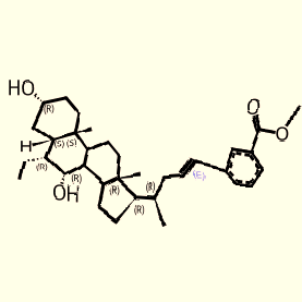 CC[C@H]1[C@@H](O)C2C3CC[C@H]([C@H](C)C/C=C/c4cccc(C(=O)OC)c4)[C@@]3(C)CCC2[C@@]2(C)CC[C@@H](O)C[C@@H]12